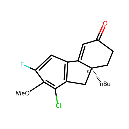 CCCC[C@@]12CCC(=O)C=C1c1cc(F)c(OC)c(Cl)c1C2